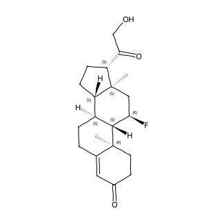 C[C@]12C[C@@H](F)[C@H]3[C@@H](CCC4=CC(=O)CC[C@@]43C)[C@@H]1CC[C@@H]2C(=O)CO